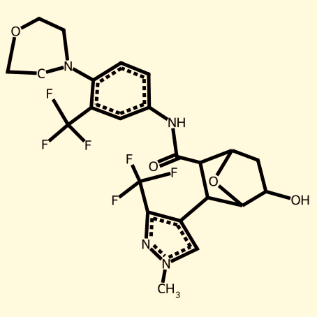 Cn1cc(C2C3OC(CC3O)C2C(=O)Nc2ccc(N3CCOCC3)c(C(F)(F)F)c2)c(C(F)(F)F)n1